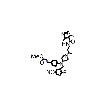 COC(=O)/C=C/c1ccc(N(Cc2cc(C#N)ccc2F)C2CCN(C(C)CCNC(=O)c3c(C)ncnc3C)CC2)cc1